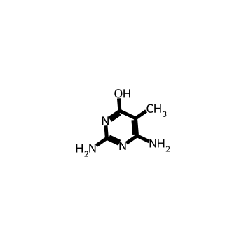 Cc1c(N)nc(N)nc1O